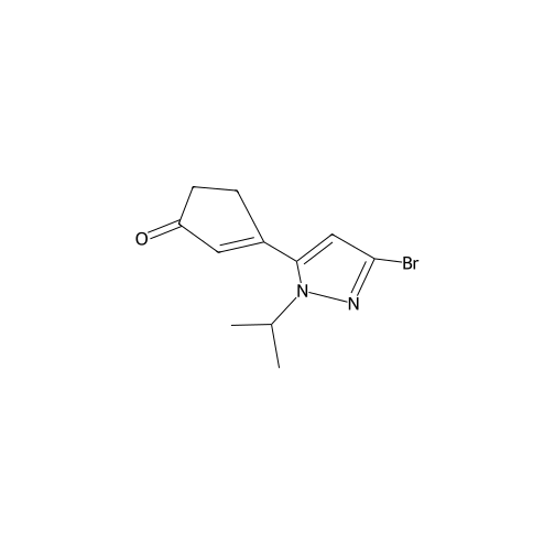 CC(C)n1nc(Br)cc1C1=CC(=O)CC1